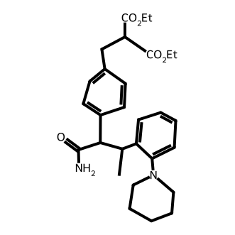 CCOC(=O)C(Cc1ccc(C(C(N)=O)C(C)c2ccccc2N2CCCCC2)cc1)C(=O)OCC